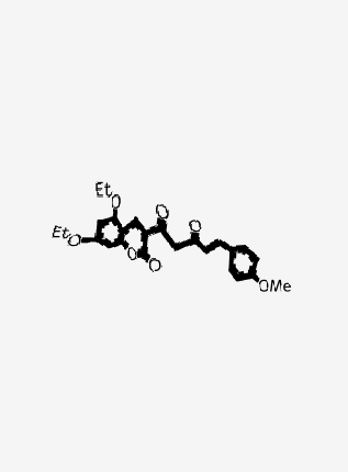 CCOc1cc(OCC)c2cc(C(=O)CC(=O)C=Cc3ccc(OC)cc3)c(=O)oc2c1